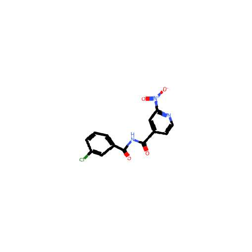 O=C(NC(=O)c1ccnc([N+](=O)[O-])c1)c1cccc(Cl)c1